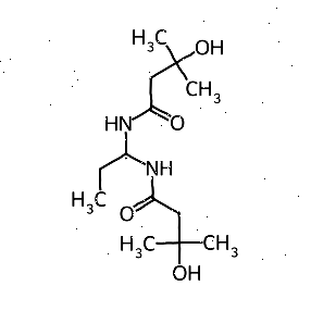 CC[C](NC(=O)CC(C)(C)O)NC(=O)CC(C)(C)O